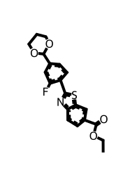 CCOC(=O)c1ccc2nc(-c3ccc(C4OCCCO4)cc3F)sc2c1